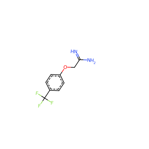 N=C(N)COc1ccc(C(F)(F)F)cc1